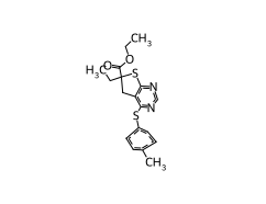 CCOC(=O)C1(CC)Cc2c(Sc3ccc(C)cc3)ncnc2S1